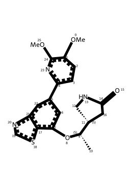 COc1ccc(-c2cc(O[C@@H](C)[C@@H]3CNC(=O)C3)c3scnc3c2)nc1OC